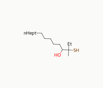 CCCCCCCCCCCCC(O)C(C)(S)CC